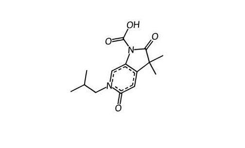 CC(C)Cn1cc2c(cc1=O)C(C)(C)C(=O)N2C(=O)O